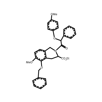 CCOC(=O)C1Cc2c(ccc(OC)c2OCc2ccccc2)CN1C(=O)C(Oc1ccc(OC)cc1)c1ccccc1